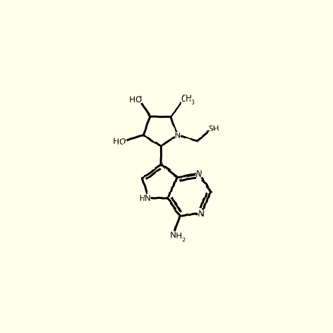 CC1C(O)C(O)C(c2c[nH]c3c(N)ncnc23)N1CS